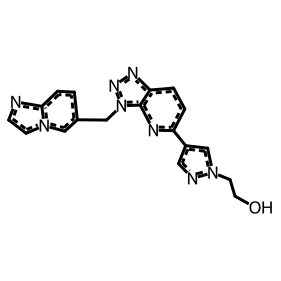 OCCn1cc(-c2ccc3nnn(Cc4ccc5nccn5c4)c3n2)cn1